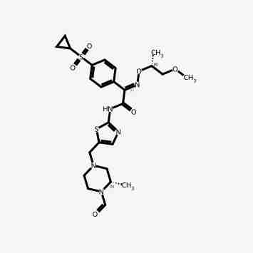 COC[C@@H](C)O/N=C(/C(=O)Nc1ncc(CN2CCN(C=O)[C@@H](C)C2)s1)c1ccc(S(=O)(=O)C2CC2)cc1